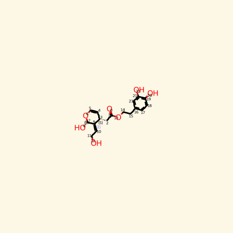 O=C(C[C@H]1C=CO[C@@H](O)/C1=C\CO)OCCc1ccc(O)c(O)c1